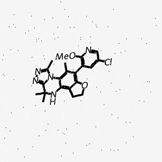 COc1ncc(Cl)cc1-c1c(C)c2c(c3c1OCC3)NC(C)(C)c1nnc(C)n1-2